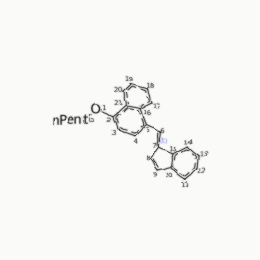 CCCCCOc1ccc(/C=C2\C=Cc3ccccc32)c2ccccc12